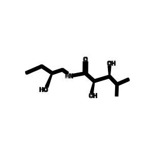 CC[C@H](O)CNC(=O)[C@H](O)[C@@H](O)C(C)C